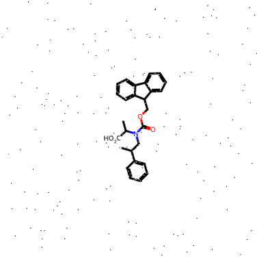 CC(CN(C(=O)OCC1c2ccccc2-c2ccccc21)C(C)C(=O)O)c1ccccc1